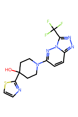 OC1(c2nccs2)CCN(c2ccc3nnc(C(F)(F)F)n3n2)CC1